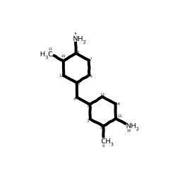 CC1CC([CH]C2CCC(N)C(C)C2)CCC1N